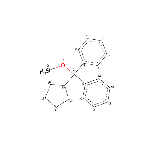 [SiH3]OC(c1ccccc1)(c1ccccc1)C1CCCC1